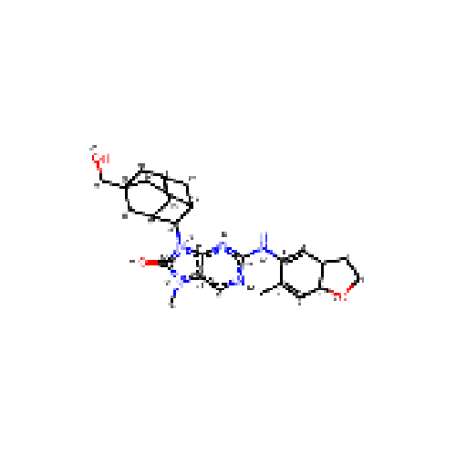 CC1=CC2OCCC2C=C1Nc1ncc2c(n1)n(C1C3CC4CC1CC(CO)(C4)C3)c(=O)n2C